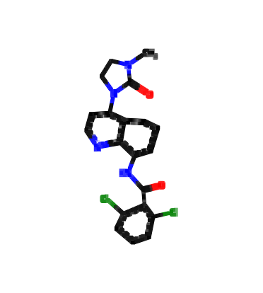 CN1CCN(c2ccnc3c(NC(=O)c4c(Cl)cccc4Cl)cccc23)C1=O